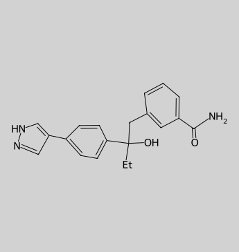 [CH2]CC(O)(Cc1cccc(C(N)=O)c1)c1ccc(-c2cn[nH]c2)cc1